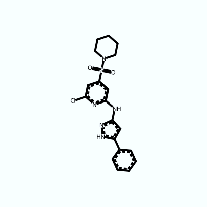 O=S(=O)(c1cc(Cl)nc(Nc2cc(-c3ccccc3)[nH]n2)c1)N1CCCCC1